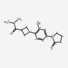 CN(C)C(=O)C1CN(c2ncc(N3CCCC3=O)cc2C#N)C1